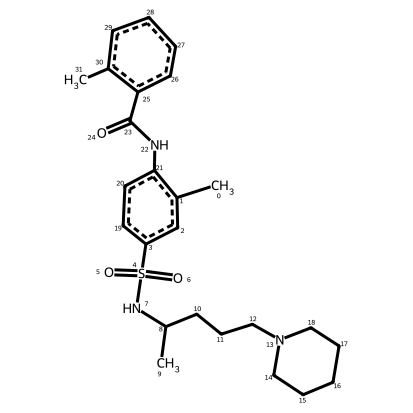 Cc1cc(S(=O)(=O)NC(C)CCCN2CCCCC2)ccc1NC(=O)c1ccccc1C